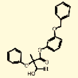 CCC(O)C(C)(Oc1ccccc1)C(=O)Oc1cccc(OCc2ccccc2)c1